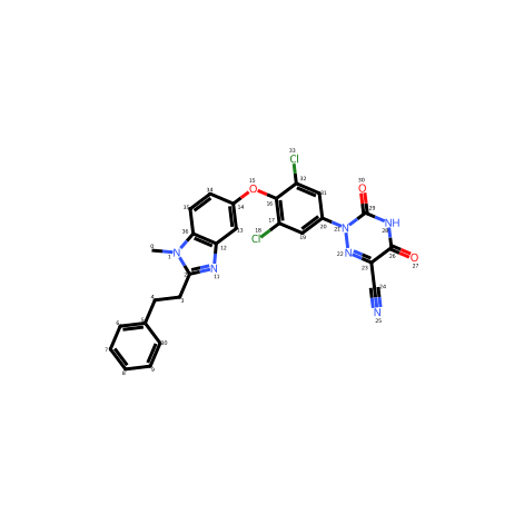 Cn1c(CCc2ccccc2)nc2cc(Oc3c(Cl)cc(-n4nc(C#N)c(=O)[nH]c4=O)cc3Cl)ccc21